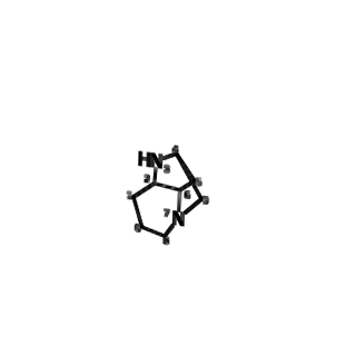 C1CC2NC3CC2N(C1)C3